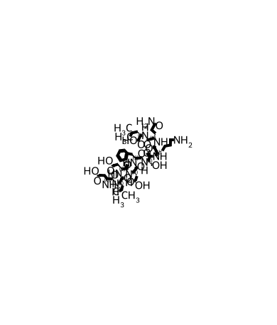 CC(C)C[C@H](NC(=O)[C@H](CCC(N)=O)NC(=O)[C@H](CCCCN)NC(=O)[C@H](CO)NC(=O)[C@H](Cc1ccccc1)NC(=O)[C@H](CC(=O)O)NC(=O)[C@H](CC(=O)O)NC(=O)[C@H](CC(C)C)NC(=O)[C@@H](N)CC(=O)O)C(=O)O